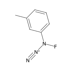 Cc1cccc(N(F)[N+]#N)c1